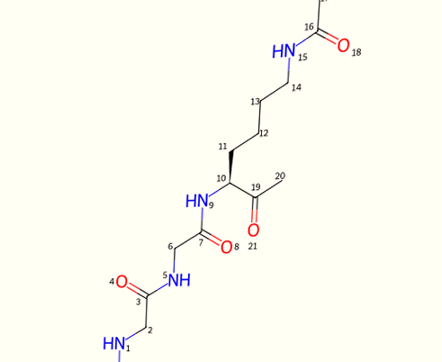 CNCC(=O)NCC(=O)N[C@@H](CCCCNC(C)=O)C(C)=O